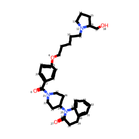 O=C(c1ccc(OCCCCCN2CCCC2CO)cc1)N1CCC(N2C(=O)CCc3ccccc32)CC1